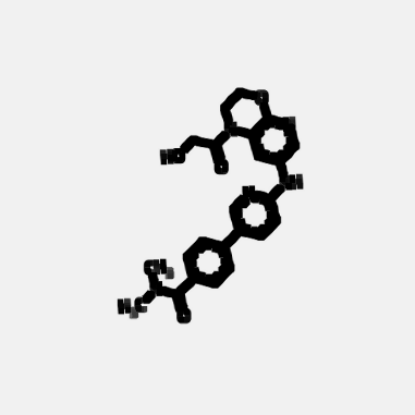 CN(C)C(=O)c1ccc(-c2ccc(Nc3cnc4c(c3)N(C(=O)CO)CCO4)nc2)cc1